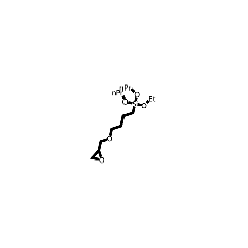 CCCO[Si](CCCCOCC1CO1)(OCC)OCCC